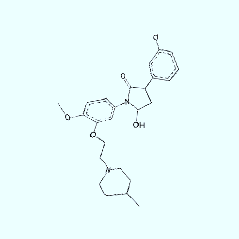 COc1ccc(N2C(=O)C(c3cccc(Cl)c3)CC2O)cc1OCCN1CCC(C)CC1